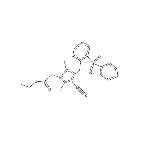 [C-]#[N+]c1c(Cc2ccccc2S(=O)(=O)c2ccccc2)c(C)n(CC(=O)OCC)c1C